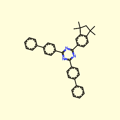 CC1(C)CC(C)(C)c2cc(-c3nc(-c4ccc(-c5ccccc5)cc4)nc(-c4ccc(-c5ccccc5)cc4)n3)ccc21